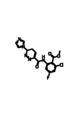 COC(=O)c1c(Cl)cc(F)cc1NC(=O)C1=CCC(n2ccnc2)N=N1